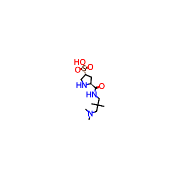 CN(C)CC(C)(C)CNC(=O)[C@@H]1C[C@@H](S(=O)(=O)O)CN1